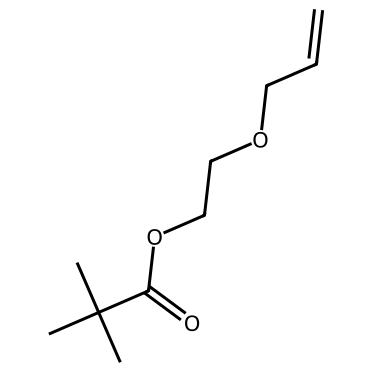 C=CCOCCOC(=O)C(C)(C)C